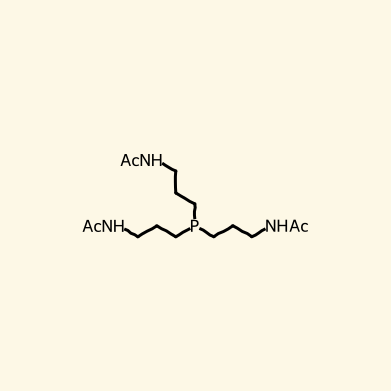 CC(=O)NCCCP(CCCNC(C)=O)CCCNC(C)=O